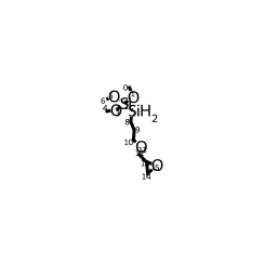 CO[Si](OC)(OC)[SiH2]CCCOCC1CO1